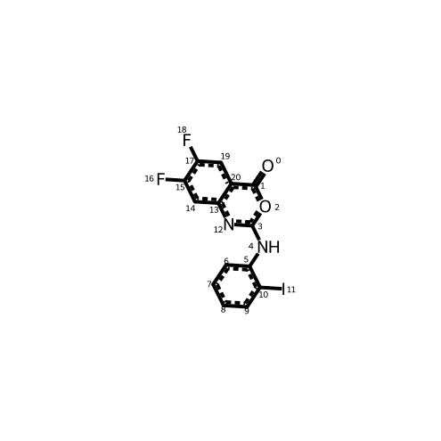 O=c1oc(Nc2ccccc2I)nc2cc(F)c(F)cc12